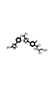 CCC(Oc1ccc(-c2noc(C(C)C)n2)cc1)c1nc(-c2ccc(C(=O)N[C@H](CC)CO)c(F)c2)no1